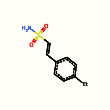 CCc1ccc(C=CS(N)(=O)=O)cc1